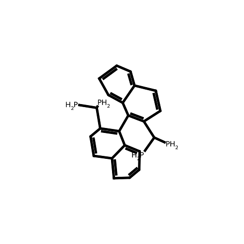 PC(P)c1ccc2ccccc2c1-c1c(C(P)P)ccc2ccccc12